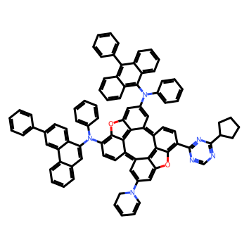 C1=CCN(c2cc3oc4c(-c5ncnc(C6CCCC6)n5)ccc5c6cc(N(c7ccccc7)c7c8ccccc8c(-c8ccccc8)c8ccccc78)cc7oc8c(N(c9ccccc9)c9cc%10ccccc%10c%10cc(-c%11ccccc%11)ccc9%10)ccc(c(c2)c3c45)c8c76)C=C1